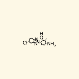 Cc1c(N)ccc(-n2nc3ccc(Cl)cc3n2)c1O